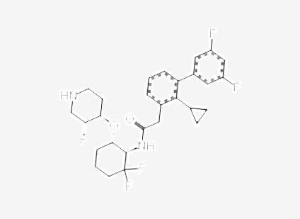 O=C(Cc1cccc(-c2cc(F)cc(F)c2)c1C1CC1)N[C@@H]1[C@@H](O[C@@H]2CCNC[C@H]2F)CCCC1(F)F